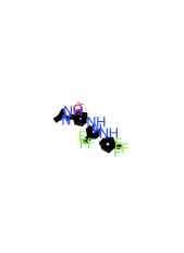 COc1cc(Nc2cc(C(F)(F)F)cc(Nc3cccc(C(F)(F)F)c3)n2)ccc1-c1nc(C)c[nH]1